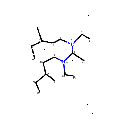 CCC(C)CCN(CC)C(C)N(CC)CCC(C)CC